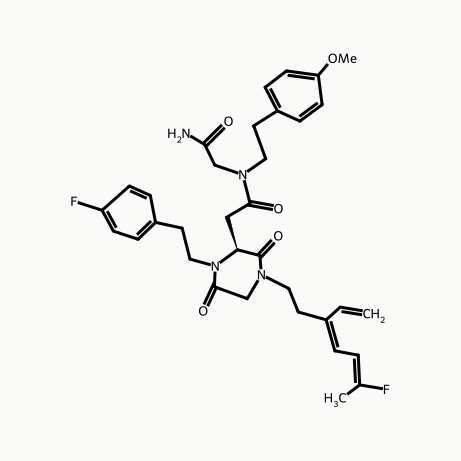 C=C/C(=C\C=C(/C)F)CCN1CC(=O)N(CCc2ccc(F)cc2)[C@@H](CC(=O)N(CCc2ccc(OC)cc2)CC(N)=O)C1=O